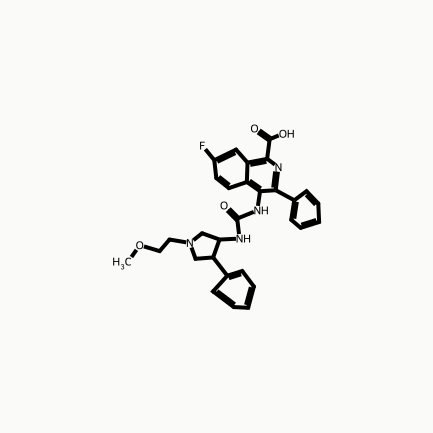 COCCN1CC(NC(=O)Nc2c(-c3ccccc3)nc(C(=O)O)c3cc(F)ccc23)C(c2ccccc2)C1